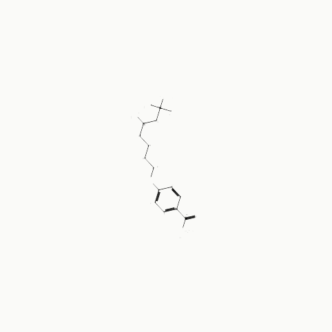 CCC(C)(C)CC(C)CCCCOc1ccc(C(=O)OC)cc1